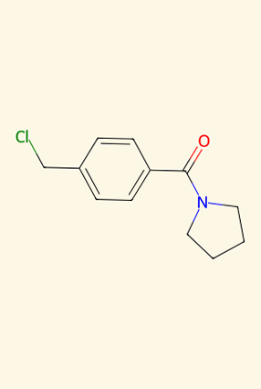 O=C(c1ccc(CCl)cc1)N1CCCC1